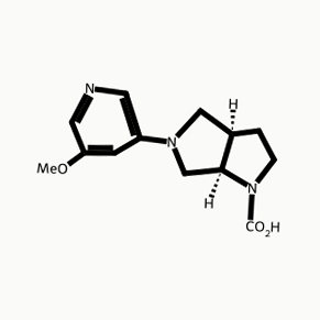 COc1cncc(N2C[C@H]3CCN(C(=O)O)[C@H]3C2)c1